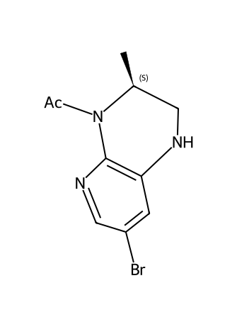 CC(=O)N1c2ncc(Br)cc2NC[C@@H]1C